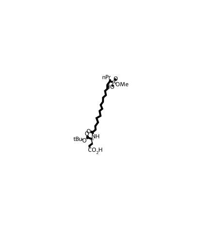 CCCC(CCCCCCCCCCCCCCC(=O)N[C@@H](CCC(=O)O)C(=O)OC(C)(C)C)P(=O)(O)OC